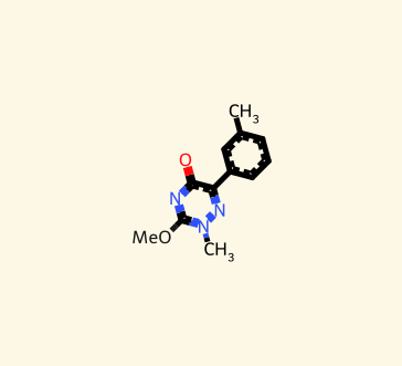 COc1nc(=O)c(-c2cccc(C)c2)nn1C